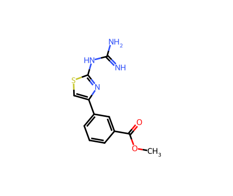 COC(=O)c1cccc(-c2csc(NC(=N)N)n2)c1